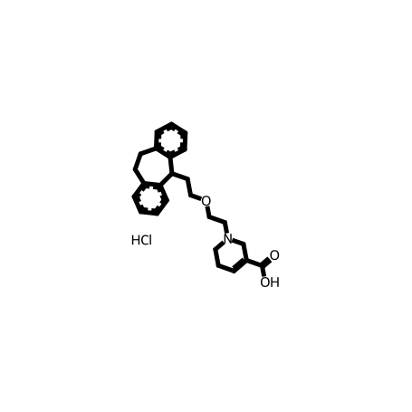 Cl.O=C(O)C1=CCCN(CCOCCC2c3ccccc3CCc3ccccc32)C1